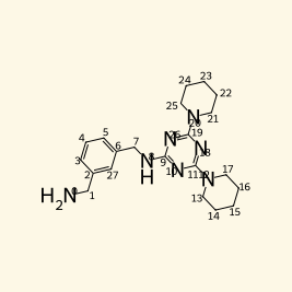 NCc1cccc(CNc2nc(N3CCCCC3)nc(N3CCCCC3)n2)c1